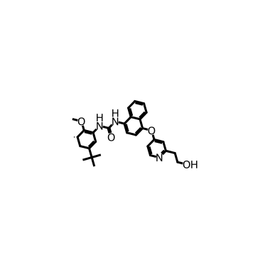 COC1=C(NC(=O)Nc2ccc(Oc3ccnc(CCO)c3)c3ccccc23)C=C(C(C)(C)C)C[CH]1